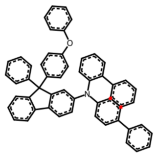 c1ccc(Oc2ccc(C3(c4ccccc4)c4ccccc4-c4ccc(N(c5ccc(-c6ccccc6)cc5)c5ccccc5-c5ccccc5)cc43)cc2)cc1